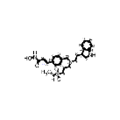 CNS(=O)(=O)CCCN(CCC1CNc2ccccc21)Cc1ccc(/C=C/C(=O)NO)cc1